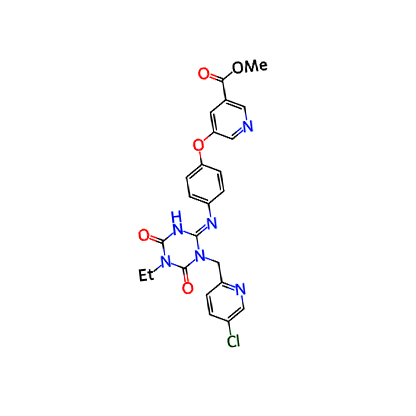 CCn1c(=O)[nH]/c(=N\c2ccc(Oc3cncc(C(=O)OC)c3)cc2)n(Cc2ccc(Cl)cn2)c1=O